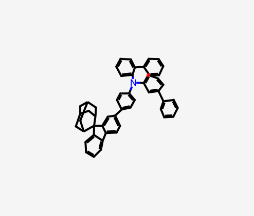 c1ccc(-c2cccc(N(c3ccc(-c4ccc5c(c4)C4(c6ccccc6-5)C5CC6CC(C5)CC4C6)cc3)c3ccccc3-c3ccccc3)c2)cc1